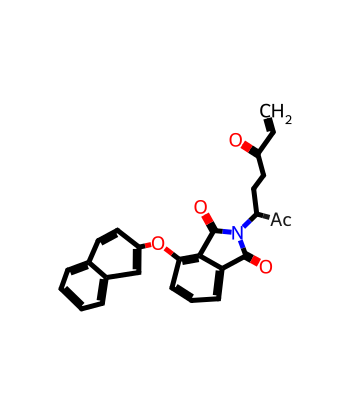 C=CC(=O)CCC(C(C)=O)N1C(=O)c2cccc(Oc3ccc4ccccc4c3)c2C1=O